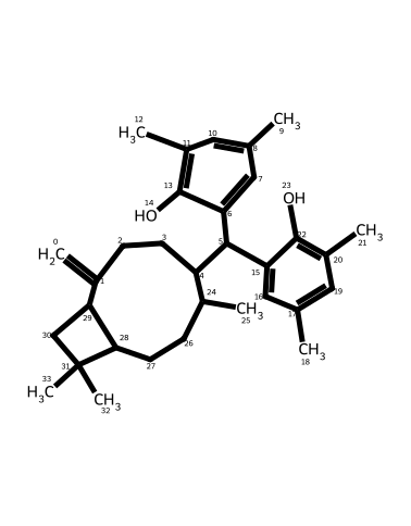 C=C1CCC(C(c2cc(C)cc(C)c2O)c2cc(C)cc(C)c2O)C(C)CCC2C1CC2(C)C